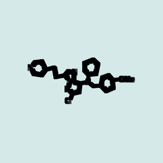 COc1ccc(CN(c2ccccc2)c2cc(Cl)nn3c(C=Cc4ccncc4)cnc23)cc1